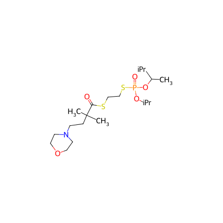 CC(C)OP(=O)(OC(C)C(C)C)SCCSC(=O)C(C)(C)CCN1CCOCC1